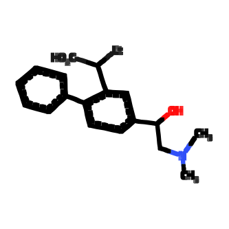 CCC(C(=O)O)c1cc(C(O)CN(C)C)ccc1-c1ccccc1